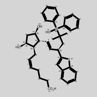 CC(C)(C[C@H](/C=C/[C@@H]1[C@@H](C/C=C\CCCC(=O)O)[C@@H](O)C[C@H]1O)c1cc2ccccc2s1)[Si](O)(c1ccccc1)c1ccccc1